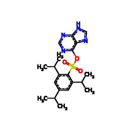 CC(C)c1cc(C(C)C)c(S(=O)(=O)Oc2ncnc3[nH]cnc23)c(C(C)C)c1